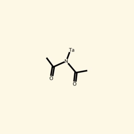 CC(=O)[N]([Ta])C(C)=O